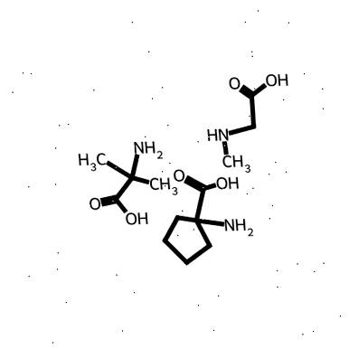 CC(C)(N)C(=O)O.CNCC(=O)O.NC1(C(=O)O)CCCC1